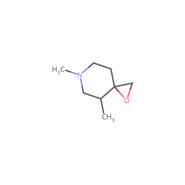 CC1CN(C)CCC12CO2